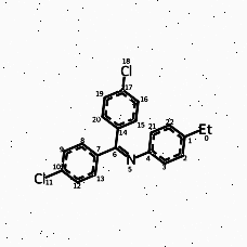 CCc1ccc(N=C(c2ccc(Cl)cc2)c2ccc(Cl)cc2)cc1